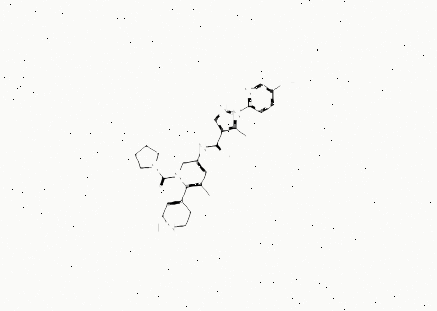 CC1=C(C2=CCNCC2)N(C(=O)N2CCCC2)CC(NC(=O)c2cnn(-c3ccc(C(F)(F)F)cn3)c2C)=C1